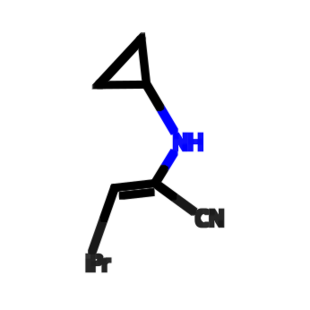 CC(C)C=C(C#N)NC1CC1